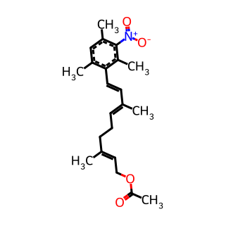 CC(=O)OCC=C(C)CCC=C(C)C=Cc1c(C)cc(C)c([N+](=O)[O-])c1C